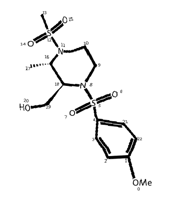 COc1ccc(S(=O)(=O)N2CCN(S(C)(=O)=O)[C@@H](C)[C@@H]2CO)cc1